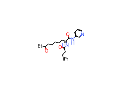 CCC(=O)CCCCC[C@H](NC(=O)CCC(C)C)C(=O)Nc1cccnc1